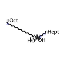 CCCCCCC/C=C/C=C/[C@@H](O)[C@H](CO)NC(=O)CCCCCCCCCCCCC/C=C\CCCCCCCC